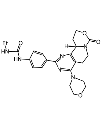 CCNC(=O)Nc1ccc(-c2nc3c(c(N4CCOCC4)n2)CCN2C(=O)OCC[C@@H]32)cc1